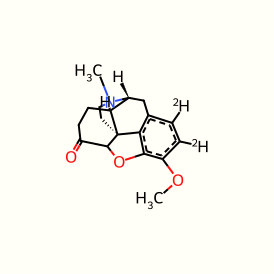 [2H]c1c([2H])c(OC)c2c3c1C[C@@H]1[C@@H]4CCC(=O)C(O2)[C@]34CCN1C